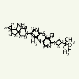 CC(C)(O)C1CN(c2nccc(Sc3ncc(N4CCC5(CC4)CCC4(CC4)[C@H]5N)nc3N)c2Cl)C1